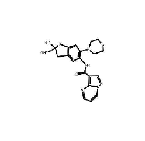 CC1(C=O)Cc2cc(NC(=O)c3cnn4cccnc34)c(N3CCOCC3)cc2O1